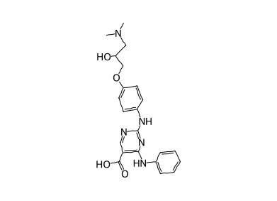 CN(C)CC(O)COc1ccc(Nc2ncc(C(=O)O)c(Nc3ccccc3)n2)cc1